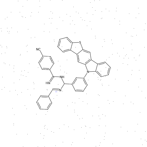 N#Cc1ccc(C(=N)NC(/N=C/c2ccccc2)c2cccc(-n3c4ccccc4c4cc5sc6ccccc6c5cc43)c2)cc1